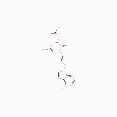 CC(C)(C)C(=O)OC(OC(=O)C(C)(C)C)[PH](=O)C/C=C/Cn1cnc2c(Cl)ncnc21